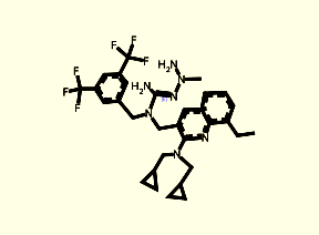 CCc1cccc2cc(CN(Cc3cc(C(F)(F)F)cc(C(F)(F)F)c3)/C(N)=N/N(C)N)c(N(CC3CC3)CC3CC3)nc12